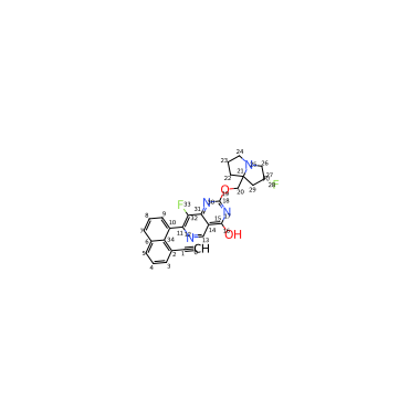 C#Cc1cccc2cccc(-c3ncc4c(O)nc(OCC56CCCN5C[C@H](F)C6)nc4c3F)c12